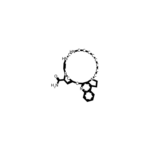 NC(=O)C1C=C2CN1C=CNCNCCCCCCCCN1CCc3c1c(nc1ccccc31)O2